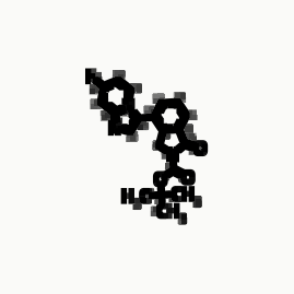 CC(C)(C)OC(=O)N1Cc2c(cccc2-c2cnc3cc(F)ccn23)C1=O